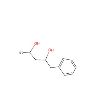 CCC(O)CC(O)Cc1ccccc1